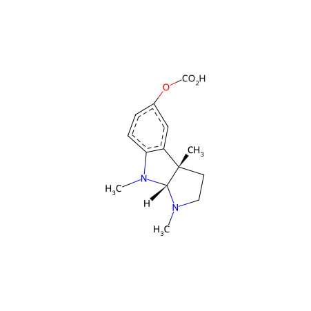 CN1CC[C@@]2(C)c3cc(OC(=O)O)ccc3N(C)[C@@H]12